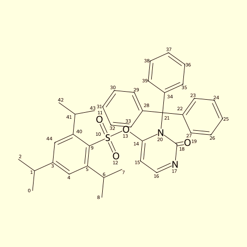 CC(C)c1cc(C(C)C)c(S(=O)(=O)Oc2ccnc(=O)n2C(c2ccccc2)(c2ccccc2)c2ccccc2)c(C(C)C)c1